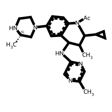 CC(=O)N1c2ccc(N3CCN[C@@H](C)C3)cc2C(Nc2cnc(C)cn2)C(C)C1C1CC1